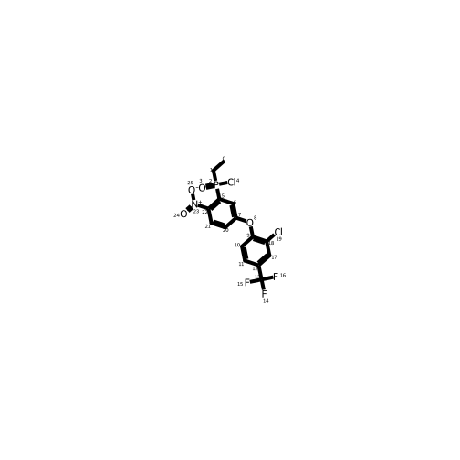 CCP(=O)(Cl)c1cc(Oc2ccc(C(F)(F)F)cc2Cl)ccc1[N+](=O)[O-]